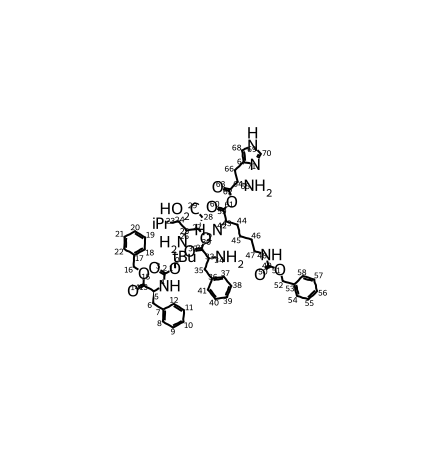 CC(C)(C)OC(=O)N[C@@H](Cc1ccccc1)C(=O)OCc1ccccc1.CC(C)C[C@H](N)[C@H](CC(=O)O)OC(=O)[C@@H](N)Cc1ccccc1.N[C@@H](CCCCNC(=O)OCc1ccccc1)C(=O)OC(=O)[C@@H](N)Cc1c[nH]cn1